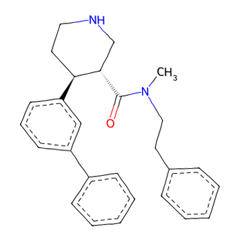 CN(CCc1ccccc1)C(=O)[C@H]1CNCC[C@@H]1c1cccc(-c2ccccc2)c1